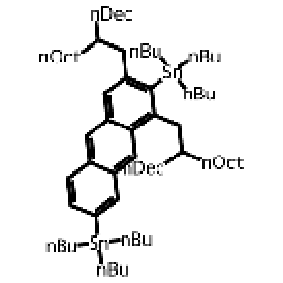 CCCCCCCCCCC(CCCCCCCC)Cc1cc2cc3cc[c]([Sn]([CH2]CCC)([CH2]CCC)[CH2]CCC)cc3cc2c(CC(CCCCCCCC)CCCCCCCCCC)[c]1[Sn]([CH2]CCC)([CH2]CCC)[CH2]CCC